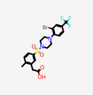 Cc1ccc(S(=O)(=O)N2CCN(c3ccc(C(F)(F)F)cc3Br)CC2)cc1CC(=O)O